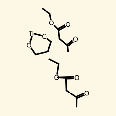 C1C[O][Ti][O]C1.CCOC(=O)CC(C)=O.CCOC(=O)CC(C)=O